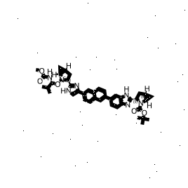 COC(=O)N[C@H](ON1[C@@H]2C[C@@H]2C[C@H]1c1nc(-c2ccc3cc(-c4ccc5nc([C@@H]6C[C@H]7C[C@H]7N6C(=O)OC(C)(C)C)[nH]c5c4)ccc3c2)c[nH]1)C(C)C